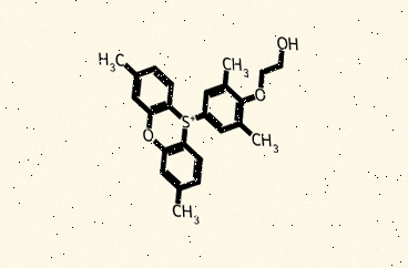 Cc1ccc2c(c1)Oc1cc(C)ccc1[S+]2c1cc(C)c(OCCO)c(C)c1